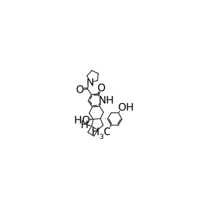 CC1=C([C@@]23Cc4[nH]c(=O)c(C(=O)N5CCCC5)cc4C[C@@]2(O)[C@H]2CCC2C3)CC(O)C=C1